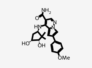 COc1ccc(-c2cc3c(N[C@@H]4C[C@@H](O)[C@@H](O)C4(C)C)c(C(N)=O)cnn3c2)cc1